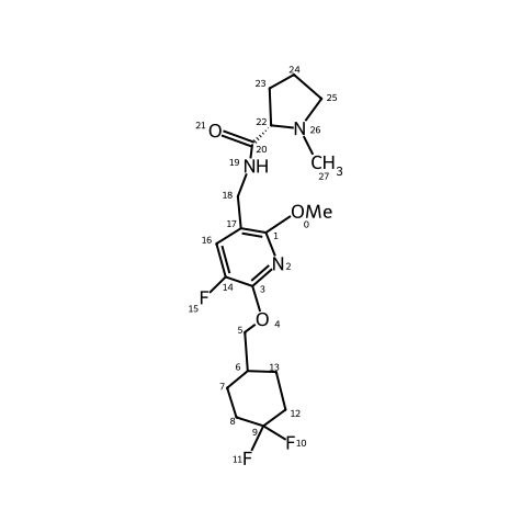 COc1nc(OCC2CCC(F)(F)CC2)c(F)cc1CNC(=O)[C@@H]1CCCN1C